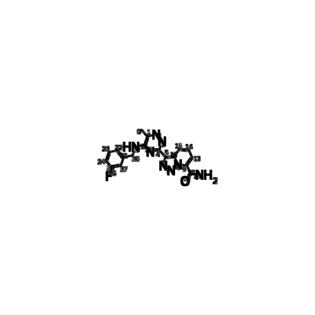 Cc1nnc(-c2nnn3c(C(N)=O)cccc23)nc1NCc1cccc(F)c1